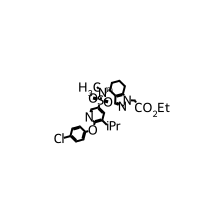 CCOC(=O)Cn1ncc2c1CCC[C@H]2N(C)S(=O)(=O)c1cnc(Oc2ccc(Cl)cc2)c(C(C)C)c1